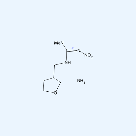 CN/C(=N/[N+](=O)[O-])NCC1CCOC1.N